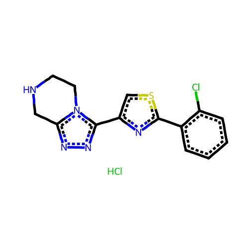 Cl.Clc1ccccc1-c1nc(-c2nnc3n2CCNC3)cs1